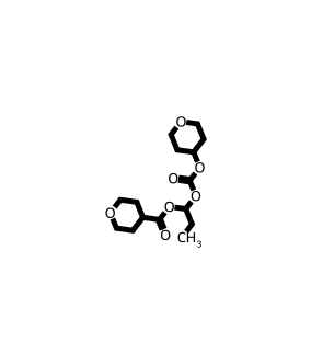 CC[C](OC(=O)OC1CCOCC1)OC(=O)C1CCOCC1